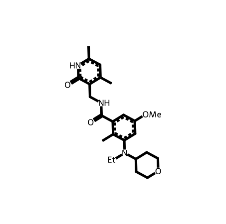 CCN(c1cc(OC)cc(C(=O)NCc2c(C)cc(C)[nH]c2=O)c1C)C1CCOCC1